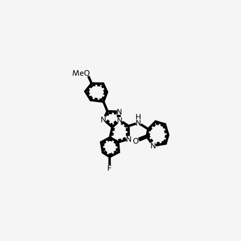 COc1ccc(-c2nc3c4ccc(F)cc4nc(Nc4ccccnc4=O)n3n2)cc1